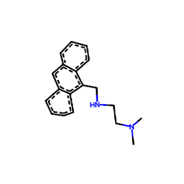 CN(C)CCNCc1c2ccccc2cc2ccccc12